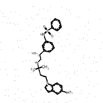 CC(C)(CCn1ccc2cc([N+](=O)[O-])ccc21)NC[C@H](O)c1cccc(NS(=O)(=O)c2ccccc2)c1